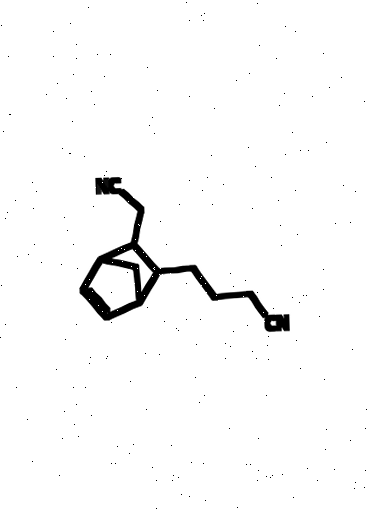 N#CCCCC1C2C=CC(C2)C1CC#N